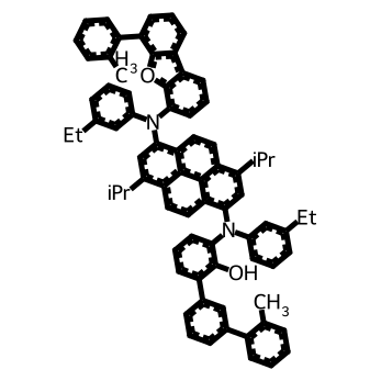 CCc1cccc(N(c2cccc(-c3cccc(-c4ccccc4C)c3)c2O)c2cc(C(C)C)c3ccc4c(N(c5cccc(CC)c5)c5cccc6c5oc5c(-c7ccccc7C)cccc56)cc(C(C)C)c5ccc2c3c54)c1